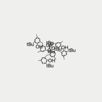 Cc1cc(Cc2cc(C)cc(C(C)(C)C)c2OP(=O)(Oc2c(Cc3cc(C)cc(C(C)(C)C)c3O)cc(C)cc2C(C)(C)C)Oc2c(Cc3cc(C)cc(C(C)(C)C)c3O)cc(C)cc2C(C)(C)C)c(O)c(C(C)(C)C)c1